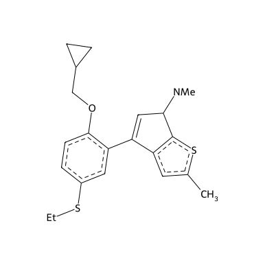 CCSc1ccc(OCC2CC2)c(C2=CC(NC)c3sc(C)cc32)c1